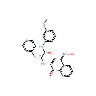 COc1cccc(NC(=O)[C@@H](Cc2ccccc2)NC2=C/C(=N/O)c3ccccc3C2=O)c1